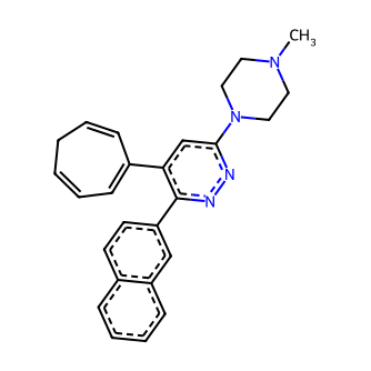 CN1CCN(c2cc(C3=CC=CCC=C3)c(-c3ccc4ccccc4c3)nn2)CC1